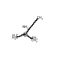 CCCCCCCCCCCCCCCCCCOP(=O)(OCCCCCC(C)C)OCCCCCC(C)C.N